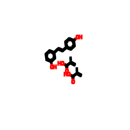 C=C(C)C(=O)O.C=C(C)C(=O)O.Oc1ccc(C=Cc2cccc(O)c2)cc1